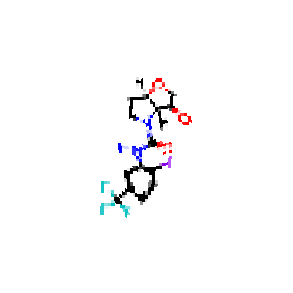 O=C1CO[C@@H]2CCN(C(=O)Nc3cc(C(F)(F)F)ccc3I)[C@H]12